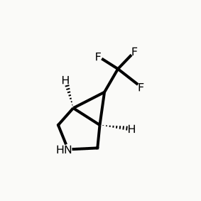 FC(F)(F)C1[C@H]2CNC[C@@H]12